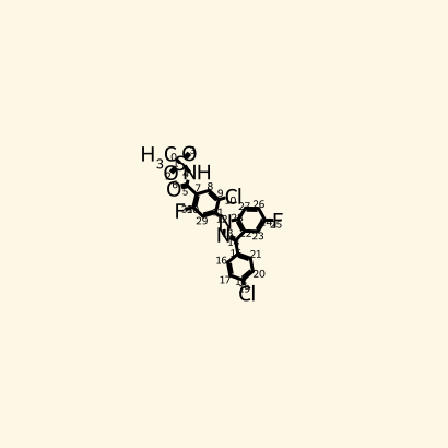 CS(=O)(=O)NC(=O)c1cc(Cl)c(-n2nc(-c3ccc(Cl)cc3)c3cc(F)ccc32)cc1F